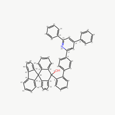 OC1(c2ccccc2-c2ccc(-c3cc(-c4ccccc4)cc(-c4ccccc4)n3)cc2)c2ccccc2C2(c3ccccc3-c3ccccc32)c2ccccc21